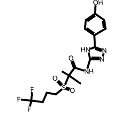 CC(C)(C(=O)Nc1nnc(-c2ccc(O)cc2)[nH]1)S(=O)(=O)CCCC(F)(F)F